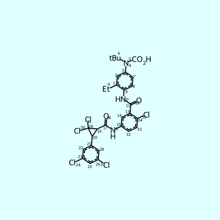 CCc1cc(N(C(=O)O)C(C)(C)C)ccc1NC(=O)c1cc(NC(=O)C2C(c3cc(Cl)cc(Cl)c3)C2(Cl)Cl)ccc1Cl